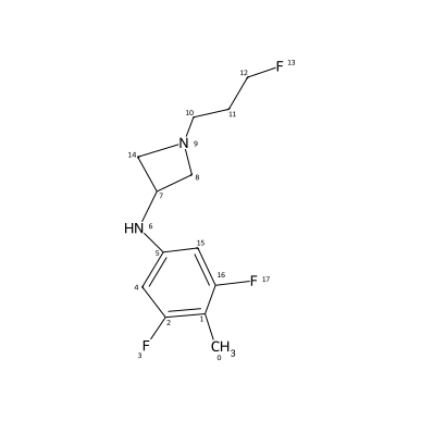 Cc1c(F)cc(NC2CN(CCCF)C2)cc1F